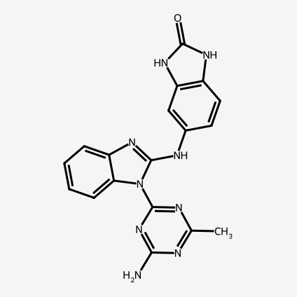 Cc1nc(N)nc(-n2c(Nc3ccc4[nH]c(=O)[nH]c4c3)nc3ccccc32)n1